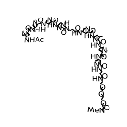 CNC(=O)COCCOCCOCCNC(=O)CCNC(=O)c1cc(NC(=O)c2cc(NC(=O)C3=NC(NC(=O)c4cc(NC(=O)CCCNC(=O)c5nc(NC(=O)c6cc(NC(=O)c7cc(NC(=O)c8cc(NC(C)=O)cn8C)cn7C)cn6C)cn5C)cn4C)=CC3C)cn2C)cn1C